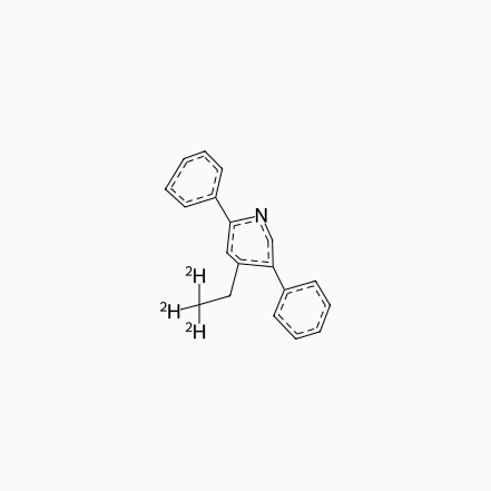 [2H]C([2H])([2H])Cc1cc(-c2ccccc2)ncc1-c1ccccc1